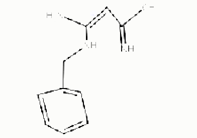 CC(=N)/C=C(/N)NCc1ccccc1